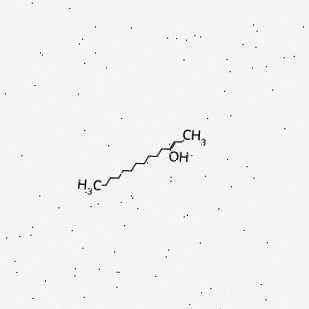 CCC=C(O)CCCCCCCCCCC